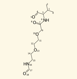 CC(C)C(C=O)NC(=O)COCCOCCNC=O